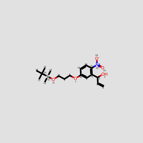 C=CC(O)c1cc(OCCCO[Si](C)(C)C(C)(C)C)ccc1[N+](=O)[O-]